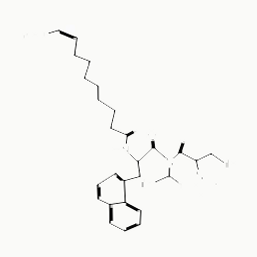 CCCCCCCC/C=C\CCCCCCCC(=O)NC(Cc1cccc2ccccc12)C(=O)N(C(=O)C(N)CC(C)C)C(C(=O)O)C(C)C